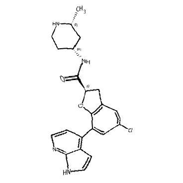 C[C@@H]1C[C@H](NC(=O)[C@H]2Cc3cc(Cl)cc(-c4ccnc5[nH]ccc45)c3O2)CCN1